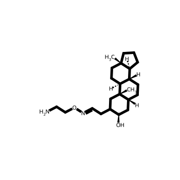 C[C@@]12CCC[C@H]1[C@@H]1CC[C@@H]3C[C@@H](O)C(CC=NOCCN)C[C@]3(C)[C@H]1CC2